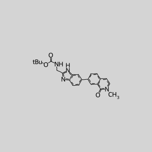 Cn1ccc2ccc(-c3ccc4nc(CNC(=O)OC(C)(C)C)[nH]c4c3)cc2c1=O